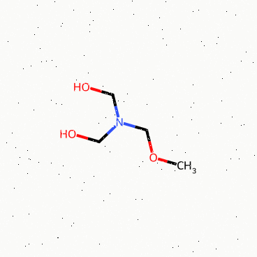 COCN(CO)CO